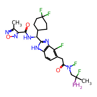 Cc1nonc1C(=O)N[C@H](c1nc2c(F)c(CC(=O)N(F)CC(C)(F)P)ccc2[nH]1)C1CCC(F)(F)CC1